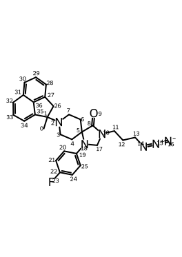 CC1(N2CCC3(CC2)C(=O)N(CCCN=[N+]=[N-])CN3c2ccc(F)cc2)Cc2cccc3cccc1c23